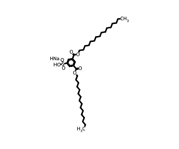 CCCCCCCCCCCCCCCCOC(=O)c1cc(C(=O)OCCCCCCCCCCCCCCCC)cc(S(=O)(=O)O)c1.[NaH]